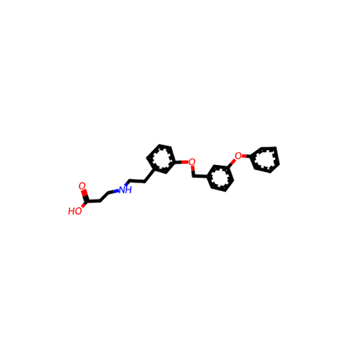 O=C(O)CCNCCc1cccc(OCc2cccc(Oc3ccccc3)c2)c1